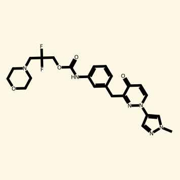 Cn1cc(-n2ccc(=O)c(Cc3cccc(NC(=O)OCC(F)(F)CN4CCOCC4)c3)n2)cn1